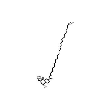 CCCCCCCCCCCCCCCCCCCCCCCCCCCCCCCCCCCC(C)C1CCC2C(CC)CC(CC(=O)O)CC2C1